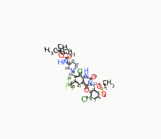 CCS(=O)(=O)c1ccc(Cl)cc1Cn1c(=O)[nH]c2c(Cl)c(CN3CCCC(NC(=O)OC(C)(C)C)C3)c(C(F)(F)F)cc2c1=O